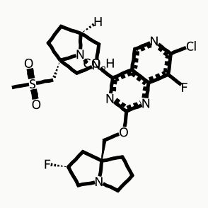 CS(=O)(=O)C[C@@]12CC[C@@H](CN(c3nc(OC[C@@]45CCCN4C[C@H](F)C5)nc4c(F)c(Cl)ncc34)C1)N2C(=O)O